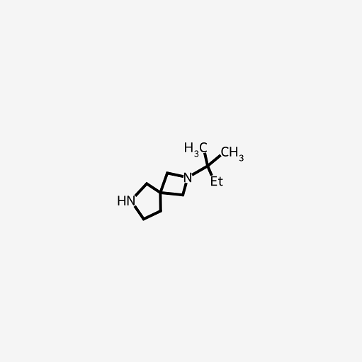 CCC(C)(C)N1CC2(CCNC2)C1